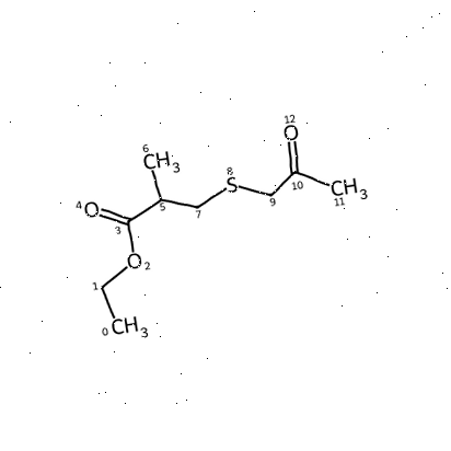 CCOC(=O)C(C)CSCC(C)=O